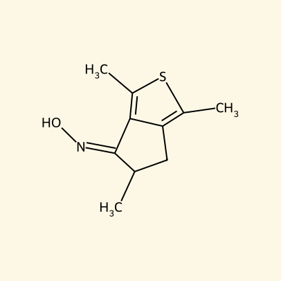 Cc1sc(C)c2c1CC(C)C2=NO